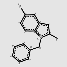 Cc1cc2cc(F)ccc2n1Cc1ccccc1